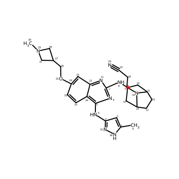 Cc1cc(Nc2nc(NC3CC4CCC(C3)N4CCC#N)nc3cc(OCC4CN(C)C4)ccc23)n[nH]1